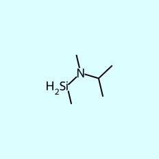 C[SiH2]N(C)C(C)C